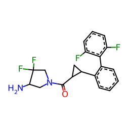 NC1CN(C(=O)C2CC2c2ccccc2-c2c(F)cccc2F)CC1(F)F